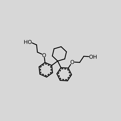 OCCOc1ccccc1C1(c2ccccc2OCCO)CCCCC1